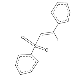 O=S(=O)(C=C(I)c1ccccc1)c1ccccc1